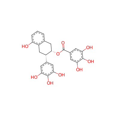 O=C(O[C@H]1Cc2cccc(O)c2C[C@H]1c1cc(O)c(O)c(O)c1)c1cc(O)c(O)c(O)c1